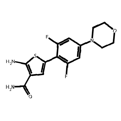 NC(=O)c1cc(-c2c(F)cc(N3CCOCC3)cc2F)sc1N